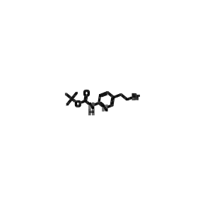 CC(C)(C)OC(=O)Nc1ccc(CCBr)cn1